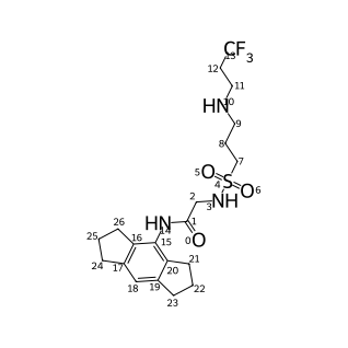 O=C(CNS(=O)(=O)CCCNCCC(F)(F)F)Nc1c2c(cc3c1CCC3)CCC2